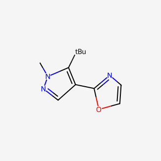 Cn1ncc(-c2ncco2)c1C(C)(C)C